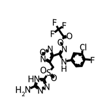 Nc1nnc(S(=O)(=O)Cc2nonc2C(=NOC(=O)C(F)(F)F)Nc2ccc(F)c(Cl)c2)[nH]1